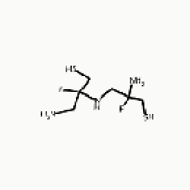 NC[C@](F)(CS)NCC(N)(F)CS